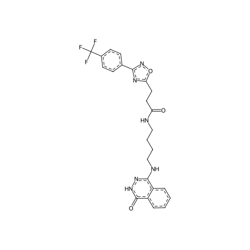 O=C(CCc1nc(-c2ccc(C(F)(F)F)cc2)no1)NCCCCNc1n[nH]c(=O)c2ccccc12